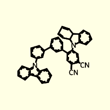 N#Cc1cc(-c2cccc(-c3cccc(-n4c5ccccc5c5ccccc54)c3)c2)c(N2c3ccccc3C3C=CC=CC32)cc1C#N